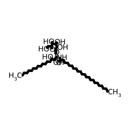 CCCCCCCCCCCCCCCCCCCCCCCC(=O)N[C@@H](COC1OC(CO)C(O)C(O)C1O)[C@H](O)[C@H](O)CCCCCCCCCCCCCC